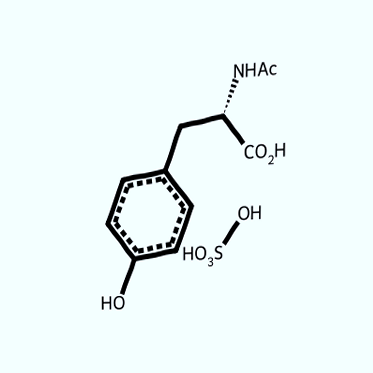 CC(=O)N[C@@H](Cc1ccc(O)cc1)C(=O)O.O=S(=O)(O)O